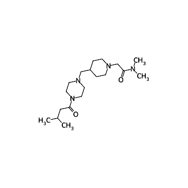 CC(C)CC(=O)N1CCN(CC2CCN(CC(=O)N(C)C)CC2)CC1